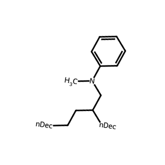 CCCCCCCCCCCCC(CCCCCCCCCC)CN(C)c1ccccc1